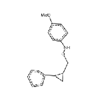 COc1ccc(NOCC2CC2c2ccccc2)cc1